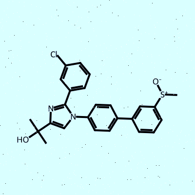 C[S+]([O-])c1cccc(-c2ccc(-n3cc(C(C)(C)O)nc3-c3cccc(Cl)c3)cc2)c1